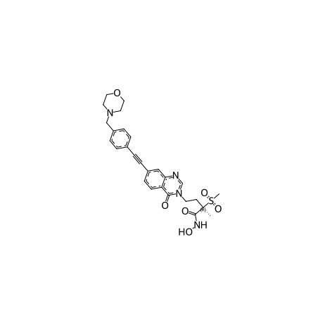 C[C@@](CCn1cnc2cc(C#Cc3ccc(CN4CCOCC4)cc3)ccc2c1=O)(C(=O)NO)S(C)(=O)=O